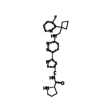 O=C(NCc1cnc(-c2ccc(NCC3(c4ncccc4F)CCC3)nn2)s1)C1CCCN1